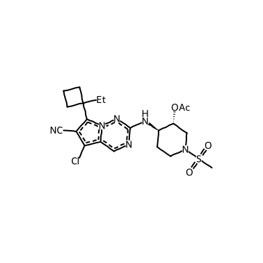 CCC1(c2c(C#N)c(Cl)c3cnc(N[C@@H]4CCN(S(C)(=O)=O)C[C@H]4OC(C)=O)nn23)CCC1